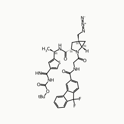 C[C@@H](NC(=O)[C@@H]1C[C@]2(CN=[N+]=[N-])C[C@@H]2N1C(=O)CNC(=O)c1ccc2c(c1)-c1ccccc1C2(F)F)c1cc(C(=N)NC(=O)OC(C)(C)C)cs1